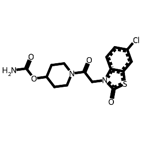 NC(=O)OC1CCN(C(=O)Cn2c(=O)sc3cc(Cl)ccc32)CC1